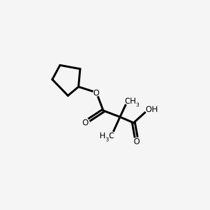 CC(C)(C(=O)O)C(=O)OC1CCCC1